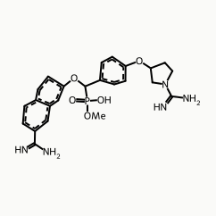 COP(=O)(O)C(Oc1ccc2ccc(C(=N)N)cc2c1)c1ccc(OC2CCN(C(=N)N)C2)cc1